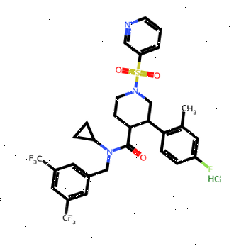 Cc1cc(F)ccc1C1CN(S(=O)(=O)c2cccnc2)CCC1C(=O)N(Cc1cc(C(F)(F)F)cc(C(F)(F)F)c1)C1CC1.Cl